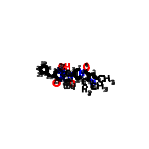 Cc1cc(C(=O)N2CCC(N(C)C(=O)[C@@H](NC(=O)[C@H](CC3CCCC3)CN(O)C=O)C(C)(C)C)CC2)c(C)n1C